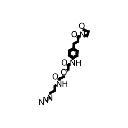 [N-]=[N+]=NCCCNC(=O)COCC(=O)Nc1ccc(CCC(=O)N2CCC2=O)cc1